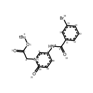 CC(C)(C)OC(=O)Cn1cc(NC(=O)c2cccc(Br)c2)ccc1=O